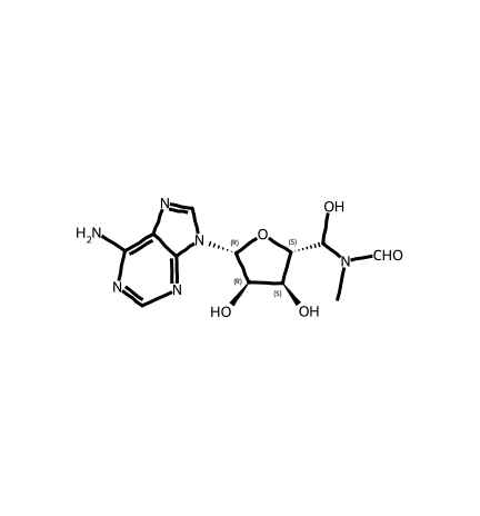 CN(C=O)C(O)[C@H]1O[C@@H](n2cnc3c(N)ncnc32)[C@H](O)[C@@H]1O